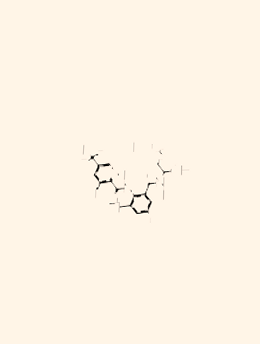 CSCC(C)NC(=O)c1cc(Cl)cc(Cl)c1NC(=O)c1ncc(C(F)(F)F)cc1Cl